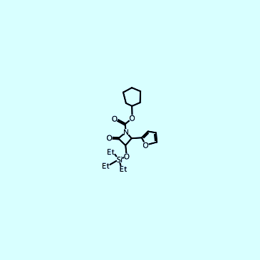 CC[Si](CC)(CC)OC1C(=O)N(C(=O)OC2CCCCC2)C1c1ccco1